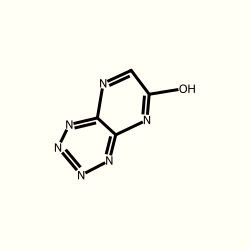 Oc1cnc2nnnnc2n1